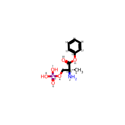 C[C@](N)(COP(=O)(O)O)C(=O)Oc1ccccc1